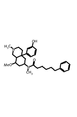 COC1CC(N(C)C(=O)CCCCCc2ccccc2)CC2(c3cccc(O)c3)CCN(C)CC12